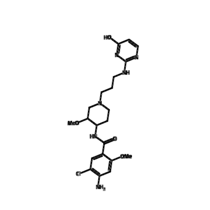 COc1cc(N)c(Cl)cc1C(=O)NC1CCN(CCCNc2nccc(O)n2)CC1OC